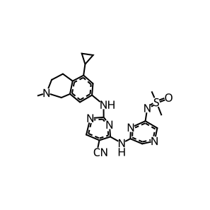 CN1CCc2c(cc(Nc3ncc(C#N)c(Nc4cncc(N=S(C)(C)=O)n4)n3)cc2C2CC2)C1